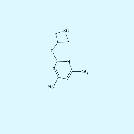 Cc1cc(C)nc(OC2CNC2)n1